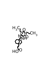 CCCn1c(=O)c2[nH]c(C34CCCC(/C=C/C(=O)O)(CCC3)C4)nc2n(CCC)c1=O